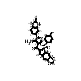 Cc1ccc(S(=O)(=O)n2c(C(=O)c3cnn(-c4ccc5[nH]c(C)nc5c4)c3N)cc3cc4c(cc32)OCO4)cc1